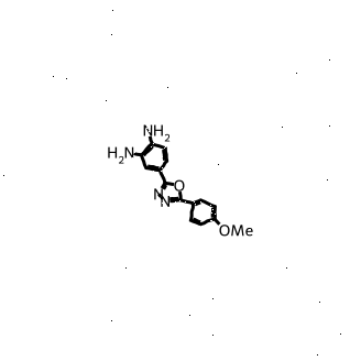 COc1ccc(-c2nnc(-c3ccc(N)c(N)c3)o2)cc1